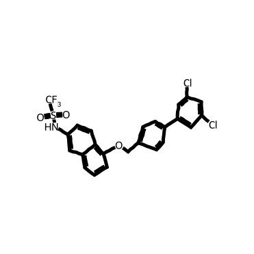 O=S(=O)(Nc1ccc2c(OCc3ccc(-c4cc(Cl)cc(Cl)c4)cc3)cccc2c1)C(F)(F)F